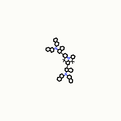 CC1(C)c2ccccc2N2c3ccc(-c4ccc(N(c5ccc6ccccc6c5)c5ccc6ccccc6c5)c5ccccc45)cc3C(C)(C)c3cc(-c4ccc(N(c5ccc6ccccc6c5)c5ccc6ccccc6c5)c5ccccc45)cc1c32